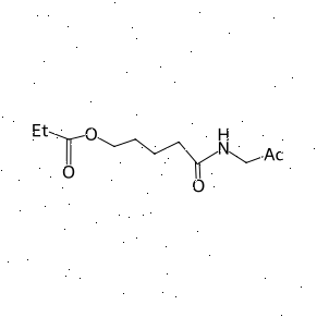 CCC(=O)OCCCCC(=O)NCC(C)=O